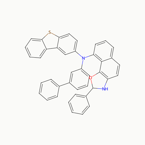 c1ccc(-c2cccc(N(c3ccc4sc5ccccc5c4c3)c3cccc4ccc5c(c34)OC(c3ccccc3)N5)c2)cc1